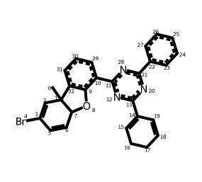 CC12C=C(Br)C=CC1Oc1c(-c3nc(C4=CCCC=C4)nc(-c4ccccc4)n3)cccc12